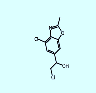 Cc1nc2c(Cl)cc(C(O)CCl)cc2o1